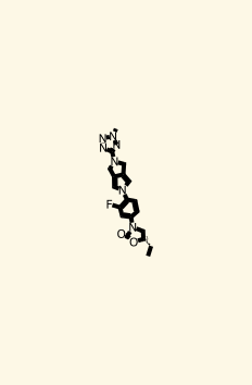 CC[C@H]1CN(c2ccc(-n3cc4c(c3)CN(c3nnn(C)n3)C4)c(F)c2)C(=O)O1